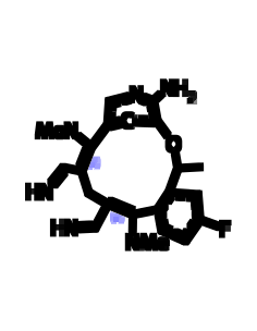 CN/C1=C(\C=N)C/C(C=N)=C(/NC)c2ccc(F)cc2C(C)Oc2cc1cnc2N